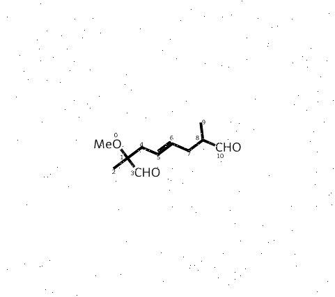 COC(C)(C=O)CC=CCC(C)C=O